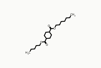 CCCCCCCOC(=O)C1CCC(C(=O)OCCCCC)CC1